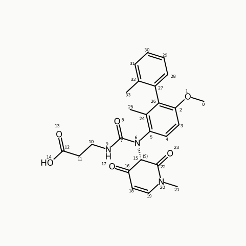 COc1ccc(N(C(=O)NCCC(=O)O)[C@H]2C(=O)C=CN(C)C2=O)c(C)c1-c1ccccc1C